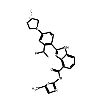 Cc1cnc(NC(=O)c2cccc3[nH]c(-c4ccc(N5CC[C@H](F)C5)cc4C(F)F)nc23)s1